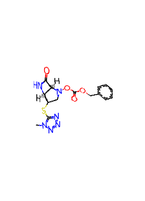 Cn1nnnc1SC1CN(OC(=O)OCc2ccccc2)[C@@H]2C(=O)N[C@H]12